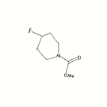 COC(=O)N1CCC(F)CC1